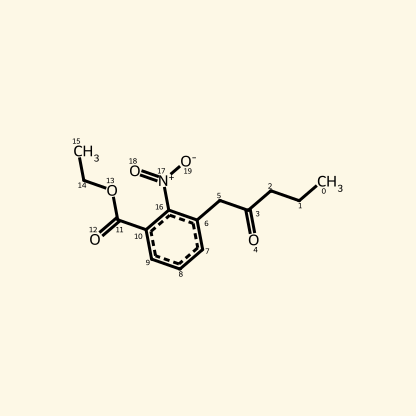 CCCC(=O)Cc1cccc(C(=O)OCC)c1[N+](=O)[O-]